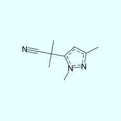 Cc1cc(C(C)(C)C#N)n(C)n1